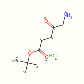 CCCC(C)(C)OC(=O)CCC(=O)CN.Cl